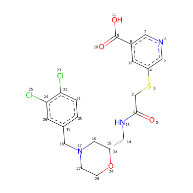 O=C(CSc1cncc(C(=O)O)c1)NC[C@H]1CN(Cc2ccc(Cl)c(Cl)c2)CCO1